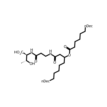 CCCCCCCCCCCCCCCC(=O)OC(CCCCCCCCCCCCCCC)CC(=O)NCCC(=O)N[C@H](C(=O)O)[C@@H](C)O